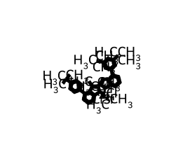 CC1=Cc2c(-c3cc(C(C)(C)C)cc(C(C)(C)C)c3)cccc2[CH]1[Zr]([Cl])([Cl])([CH]1C(C)=C(C)c2c(-c3ccc(C(C)(C)C)cc3)cccc21)[SiH](C)C